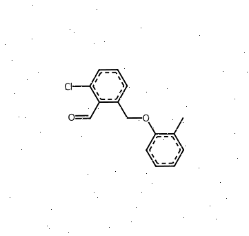 Cc1ccccc1OCc1cccc(Cl)c1C=O